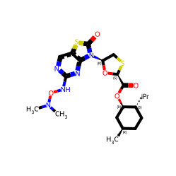 CC(C)[C@@H]1CC[C@@H](C)C[C@H]1OC(=O)[C@H]1O[C@@H](n2c(=O)sc3cnc(NON(C)C)nc32)CS1